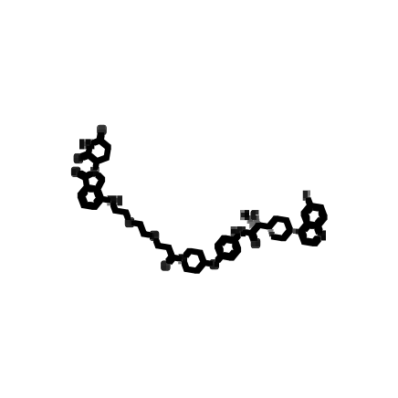 C[C@@H](C(=O)Nc1ccc(OC2CCN(C(=O)CCOCCOCCNc3cccc4c3CN(C3CCC(=O)NC3=O)C4=O)CC2)cc1)[C@H]1CC[C@@H](c2ccnc3ccc(F)cc32)CC1